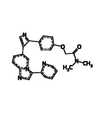 CN(C)C(=O)COc1ccc(C2=NC=C2c2ccc3ncc(-c4ccccn4)n3c2)cc1